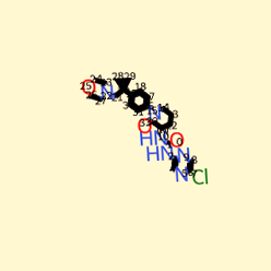 O=C(Nc1cnc(Cl)cn1)N[C@@H]1CCCN(c2ccc(C3(CN4CCOCC4)CC3)cc2)C1=O